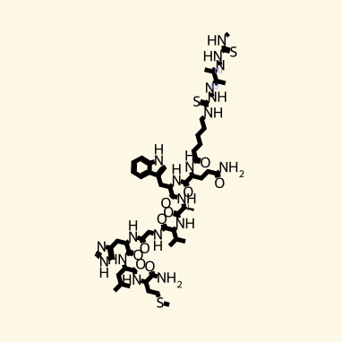 CNC(=S)N/N=C(C)/C(C)=N/NC(=S)NCCCCCC(=O)NC(CCC(N)=O)C(=O)NC(Cc1c[nH]c2ccccc12)C(=O)N[C@@H](C)C(=O)NC(C(=O)NCC(=O)NC(Cc1c[nH]cn1)C(=O)NC(CC(C)C)C(=O)NC(CCSC)C(N)=O)C(C)C